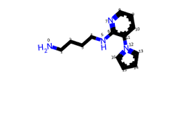 NCCCCNc1ncccc1-n1cccc1